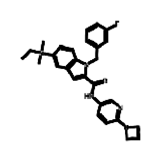 CC[Si](C)(C)c1ccc2c(c1)cc(C(=O)Nc1ccc(N3CCC3)nc1)n2Cc1cccc(F)c1